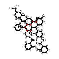 CCN(CC)c1ccc2c(-c3ccccc3C(=O)N3CCN(C(=O)c4ccccc4SSc4ccccc4C(=O)Nc4ccc(-c5c6ccc(=O)cc-6oc6cc(O)ccc56)c(C)c4)CC3)c3ccc(=[N+](CC)CC)cc-3oc2c1